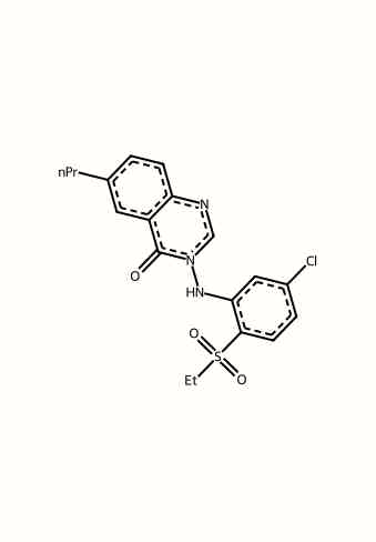 CCCc1ccc2ncn(Nc3cc(Cl)ccc3S(=O)(=O)CC)c(=O)c2c1